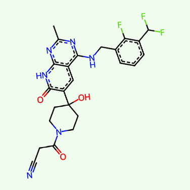 Cc1nc(NCc2cccc(C(F)F)c2F)c2cc(C3(O)CCN(C(=O)CC#N)CC3)c(=O)[nH]c2n1